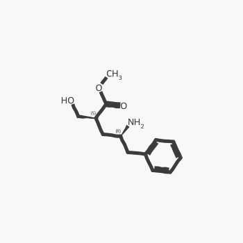 COC(=O)[C@H](CO)C[C@@H](N)Cc1ccccc1